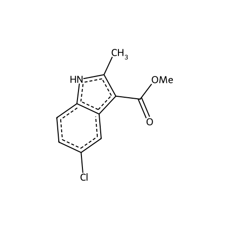 COC(=O)c1c(C)[nH]c2ccc(Cl)cc12